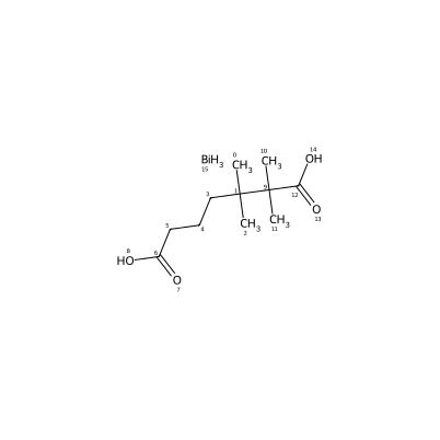 CC(C)(CCCC(=O)O)C(C)(C)C(=O)O.[BiH3]